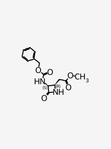 COC(=O)C[C@H]1NC(=O)[C@H]1NC(=O)OCc1ccccc1